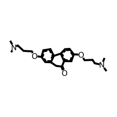 CN(C)CCCOc1ccc2c(c1)CC(=O)c1cc(OCCCN(C)C)ccc1-2